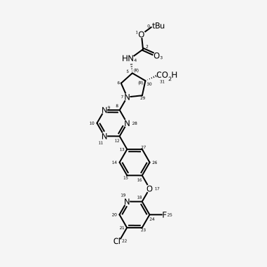 CC(C)(C)OC(=O)N[C@H]1CN(c2ncnc(-c3ccc(Oc4ncc(Cl)cc4F)cc3)n2)C[C@H]1C(=O)O